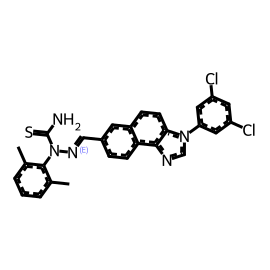 Cc1cccc(C)c1N(/N=C/c1ccc2c(ccc3c2ncn3-c2cc(Cl)cc(Cl)c2)c1)C(N)=S